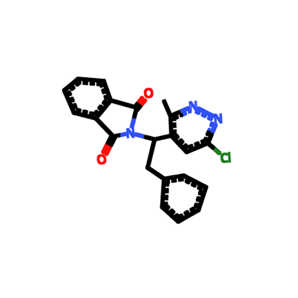 Cc1nnc(Cl)cc1C(Cc1ccccc1)N1C(=O)c2ccccc2C1=O